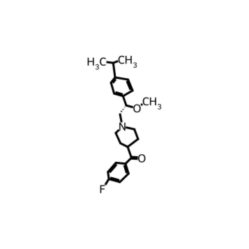 CO[C@H](CN1CCC(C(=O)c2ccc(F)cc2)CC1)c1ccc(C(C)C)cc1